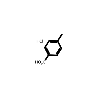 Cl.[CH2]c1ccc(C(=O)O)cc1